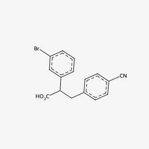 N#Cc1ccc(CC(C(=O)O)c2cccc(Br)c2)cc1